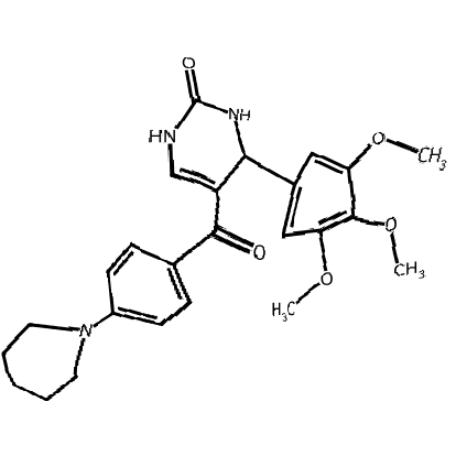 COc1cc(C2NC(=O)NC=C2C(=O)c2ccc(N3CCCCC3)cc2)cc(OC)c1OC